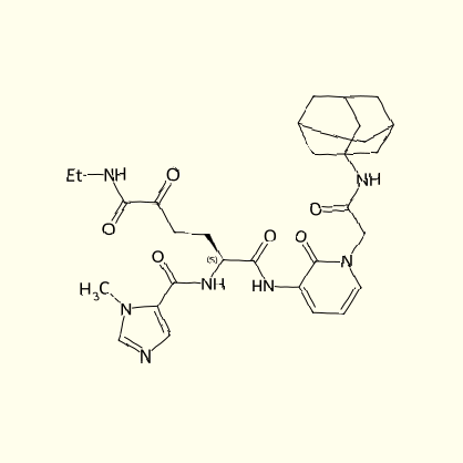 CCNC(=O)C(=O)CC[C@H](NC(=O)c1cncn1C)C(=O)Nc1cccn(CC(=O)NC23CC4CC(CC(C4)C2)C3)c1=O